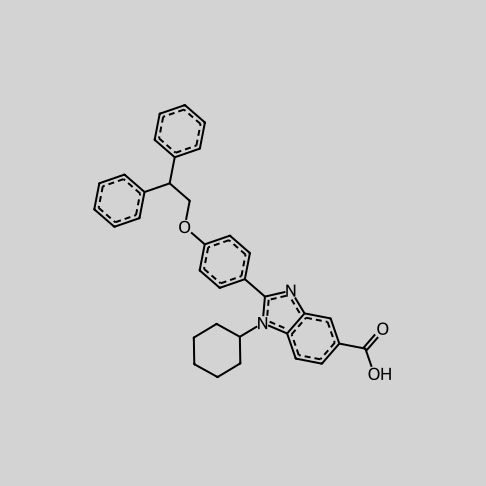 O=C(O)c1ccc2c(c1)nc(-c1ccc(OCC(c3ccccc3)c3ccccc3)cc1)n2C1CCCCC1